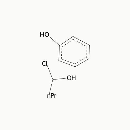 CCCC(O)Cl.Oc1ccccc1